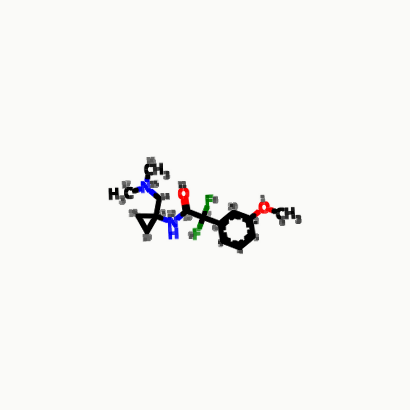 COc1cccc(C(F)(F)C(=O)NC2(CN(C)C)CC2)c1